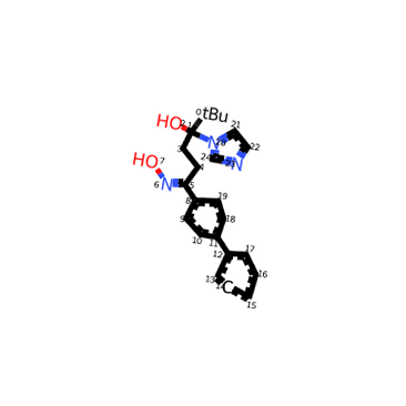 CC(C)(C)C(O)(CCC(=NO)c1ccc(-c2ccccc2)cc1)n1ccnc1